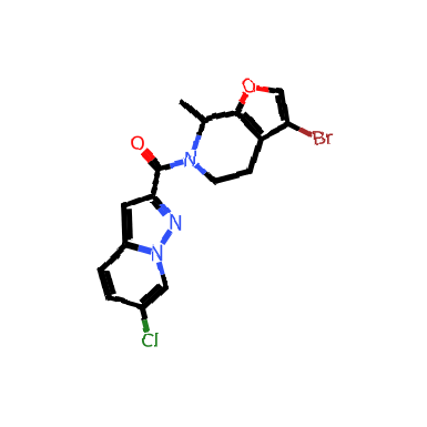 CC1c2occ(Br)c2CCN1C(=O)c1cc2ccc(Cl)cn2n1